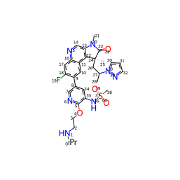 CC(C)NCCOc1ncc(-c2cc3c4c(cnc3cc2F)N(C)C(=O)[C@@]4(C)CC(C)n2cccn2)cc1NS(C)(=O)=O